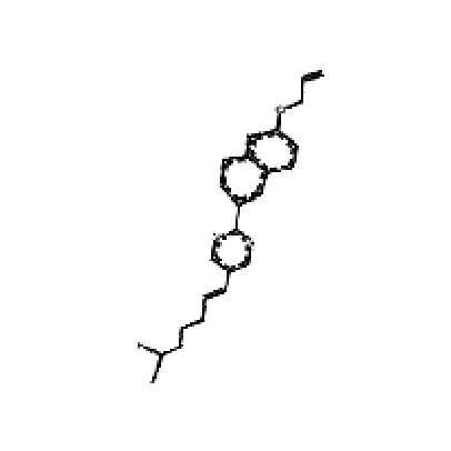 C=CCOc1ccc2cc(-c3ncc(C=CCCCC(C)F)cn3)ccc2c1